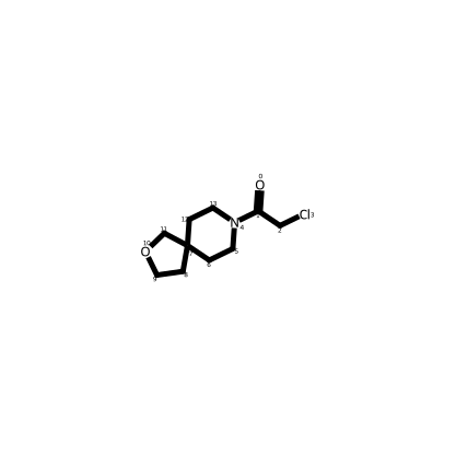 O=C(CCl)N1CCC2(CCOC2)CC1